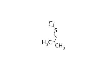 CC(C)CCSC1CCC1